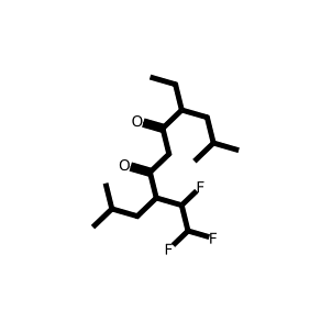 CCC(CC(C)C)C(=O)CC(=O)C(CC(C)C)C(F)C(F)F